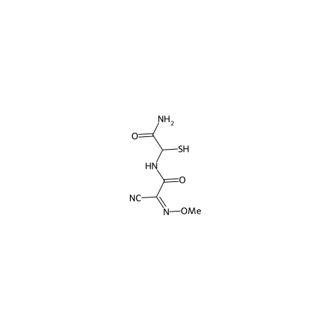 CON=C(C#N)C(=O)NC(S)C(N)=O